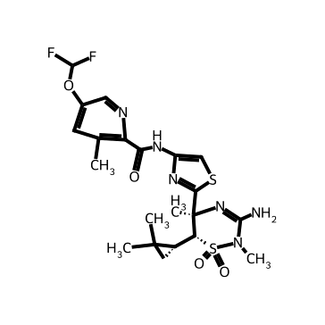 Cc1cc(OC(F)F)cnc1C(=O)Nc1csc([C@@]2(C)N=C(N)N(C)S(=O)(=O)[C@@H]2[C@@H]2CC2(C)C)n1